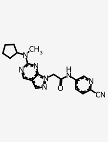 CN(c1ncc2cnn(CC(=O)Nc3ccc(C#N)nc3)c2n1)C1CCCC1